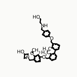 COc1cc(OCc2cccc(-c3cccc(COc4ccc(CNCCO)cc4)c3C)c2C)ccc1CN1CC(O)C1